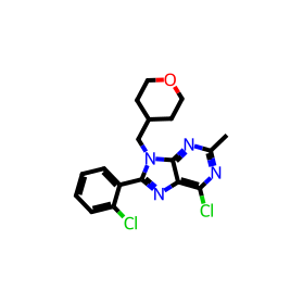 Cc1nc(Cl)c2nc(-c3ccccc3Cl)n(CC3CCOCC3)c2n1